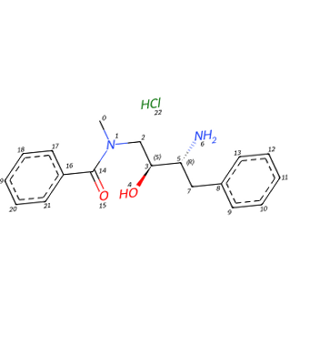 CN(C[C@H](O)[C@H](N)Cc1ccccc1)C(=O)c1ccccc1.Cl